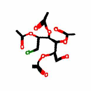 CC(=O)OC(C=O)C(OC(C)=O)C(OC(C)=O)C(CCl)OC(C)=O